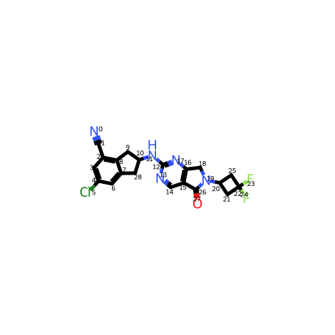 N#Cc1cc(Cl)cc2c1CC(Nc1ncc3c(n1)CN(C1CC(F)(F)C1)C3=O)C2